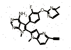 C#Cc1ccc2c(cc(-c3c(-c4ccc(Oc5nccc(C)n5)c(F)c4)c4c(N)ncnc4n3C)n2C)n1